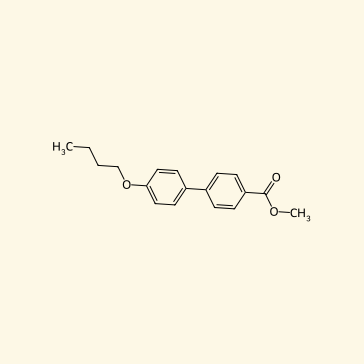 CCCCOc1ccc(-c2ccc(C(=O)OC)cc2)cc1